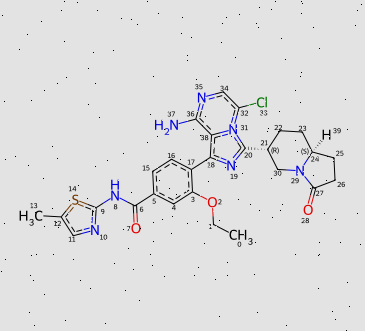 CCOc1cc(C(=O)Nc2ncc(C)s2)ccc1-c1nc([C@@H]2CC[C@H]3CCC(=O)N3C2)n2c(Cl)cnc(N)c12